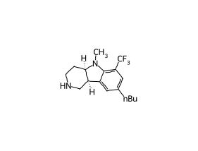 CCCCc1cc2c(c(C(F)(F)F)c1)N(C)[C@@H]1CCNC[C@H]21